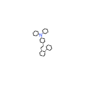 C(=Cc1ccccc1-c1ccccc1)c1ccc(N(c2ccccc2)c2ccccc2)cc1